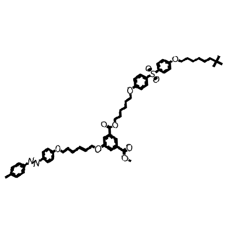 COC(=O)c1cc(OCCCCCCOc2ccc(/N=N/c3ccc(C)cc3)cc2)cc(C(=O)OCCCCCCOc2ccc(S(=O)(=O)c3ccc(OCCCCCCC(C)(C)C)cc3)cc2)c1